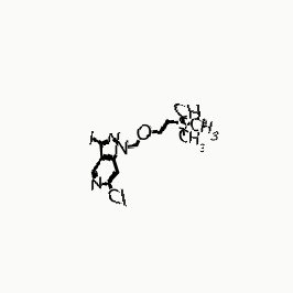 CS(C)(C)CCOCn1nc(I)c2cnc(Cl)cc21